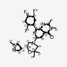 Cc1nc2c(-c3cc(F)c(F)cc3F)nc(N3C[C@@H](c4cnn(C)c4)OC(C)(C)C3)cc2c(=O)n1C